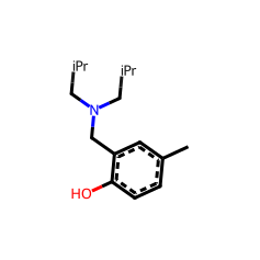 Cc1ccc(O)c(CN(CC(C)C)CC(C)C)c1